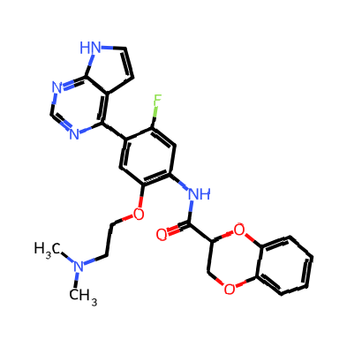 CN(C)CCOc1cc(-c2ncnc3[nH]ccc23)c(F)cc1NC(=O)C1COc2ccccc2O1